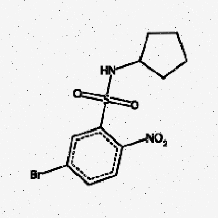 O=[N+]([O-])c1ccc(Br)cc1S(=O)(=O)NC1CCCC1